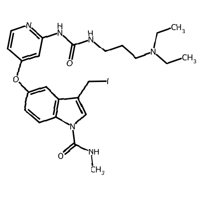 CCN(CC)CCCNC(=O)Nc1cc(Oc2ccc3c(c2)c(CI)cn3C(=O)NC)ccn1